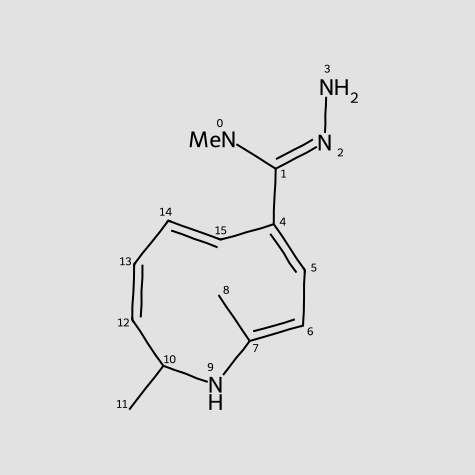 CNC(=N\N)/C1=C/C=C(\C)NC(C)/C=C\C=C\1